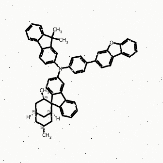 C[C@H]1C[C@@H]2C[C@H](C1)C1(c3ccccc3-c3cc(N(c4ccc(-c5ccc6c(c5)oc5ccccc56)cc4)c4ccc5c(c4)C(C)(C)c4ccccc4-5)ccc31)[C@H](C)C2